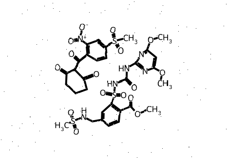 COC(=O)c1ccc(CNS(C)(=O)=O)cc1S(=O)(=O)NC(=O)Nc1nc(OC)cc(OC)n1.CS(=O)(=O)c1ccc(C(=O)C2C(=O)CCCC2=O)c([N+](=O)[O-])c1